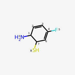 NC1C=CC(F)=CC1S